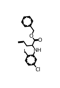 C=CCC(Nc1cc(Cl)ccc1I)C(=O)OCc1ccccc1